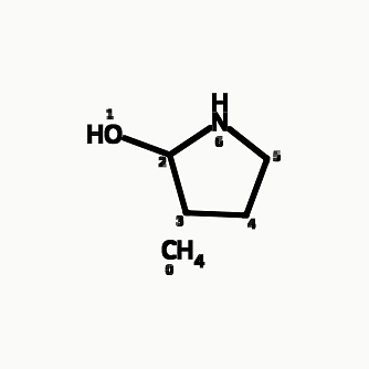 C.OC1CCCN1